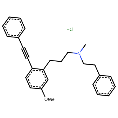 COc1ccc(C#Cc2ccccc2)c(CCCN(C)CCc2ccccc2)c1.Cl